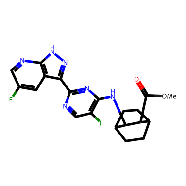 COC(=O)C1C2CCC(CC2)C1Nc1nc(-c2n[nH]c3ncc(F)cc23)ncc1F